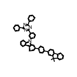 CC1(C)c2ccccc2-c2ccc(-c3ccc(-c4ccc5c6ccccc6n(-c6cccc(-c7nc(-c8ccccc8)nc(-c8ccccc8)n7)c6)c5c4)cc3)cc21